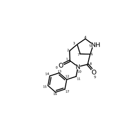 O=C1CC2CNC(C2)C(=O)N1Cc1ccccc1